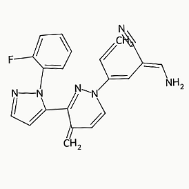 C=C/C(=C\C(C#N)=C/N)N1C=CC(=C)C(c2ccnn2-c2ccccc2F)=N1